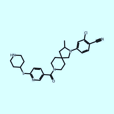 CC1CC2(CCN(C(=O)c3ccc(SC4CCNCC4)nc3)CC2)CN1c1ccc(C#N)c(Cl)c1